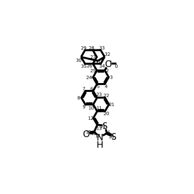 COc1ccc(-c2cccc3c(C=C4SC(=S)NC4=O)cccc23)cc1C12CC3CC(CC(C3)C1)C2